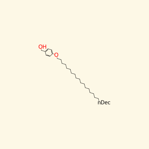 CCCCCCCCCCCCCCCCCCCCCCCCCCCCOc1ccc(CO)cc1